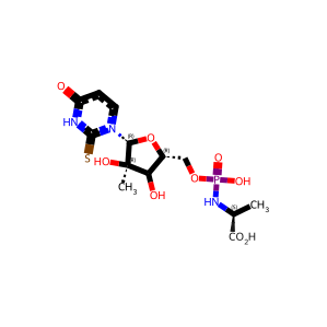 C[C@H](NP(=O)(O)OC[C@H]1O[C@@H](n2ccc(=O)[nH]c2=S)[C@](C)(O)C1O)C(=O)O